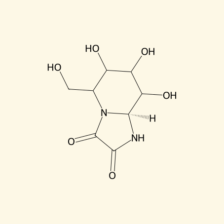 O=C1N[C@@H]2C(O)C(O)C(O)C(CO)N2C1=O